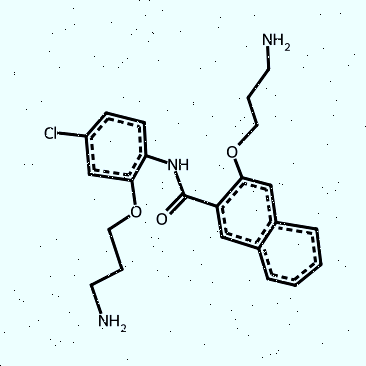 NCCCOc1cc(Cl)ccc1NC(=O)c1cc2ccccc2cc1OCCCN